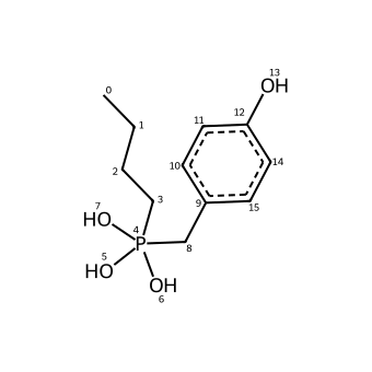 CCCCP(O)(O)(O)Cc1ccc(O)cc1